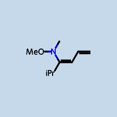 C=C/C=C(/C(C)C)N(C)OC